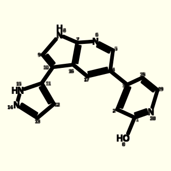 Oc1cc(-c2cnc3[nH]cc(-c4ccn[nH]4)c3c2)ccn1